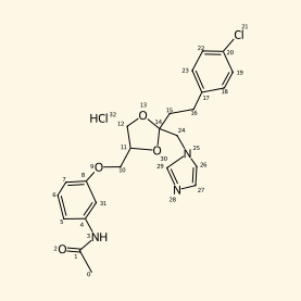 CC(=O)Nc1cccc(OCC2COC(CCc3ccc(Cl)cc3)(Cn3ccnc3)O2)c1.Cl